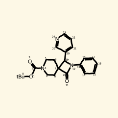 CC(C)(C)OC(=O)N1CCC2(CC1)C(=O)N(c1ccccc1)C2c1cccnc1